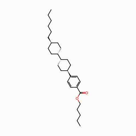 CCCCCC[C@H]1CC[C@H]([C@H]2CC[C@H](c3ccc(C(=O)OCCCCC)cc3)CC2)CC1